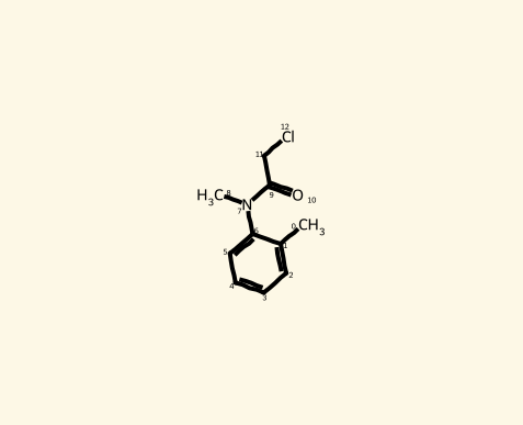 Cc1ccccc1N(C)C(=O)CCl